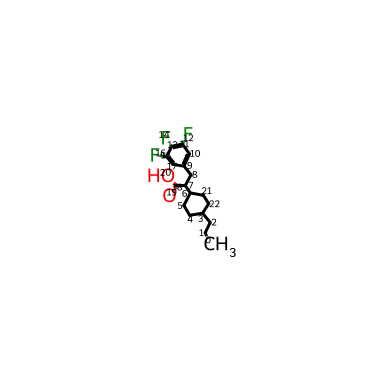 CCCC1CCC(C(Cc2cc(F)c(F)c(F)c2)C(=O)O)CC1